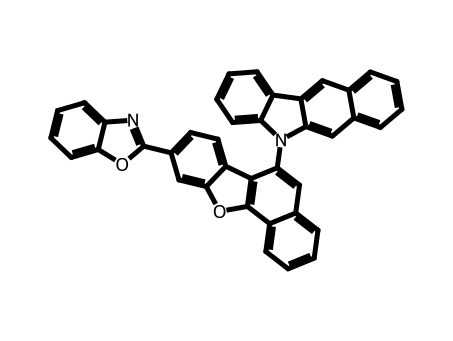 c1ccc2cc3c(cc2c1)c1ccccc1n3-c1cc2ccccc2c2oc3cc(-c4nc5ccccc5o4)ccc3c12